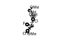 COC[C@@H]1CCCN1NC(=O)NS(=O)(=O)c1ccc(CSc2ncc(C(C)(C)c3ccc(Cl)c(OC)c3)n2-c2ccc(F)cc2)c(Cl)c1